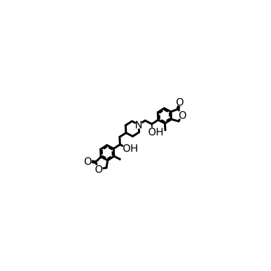 Cc1c(C(O)CC2CCN(C[C@H](O)c3ccc4c(c3C)COC4=O)CC2)ccc2c1COC2=O